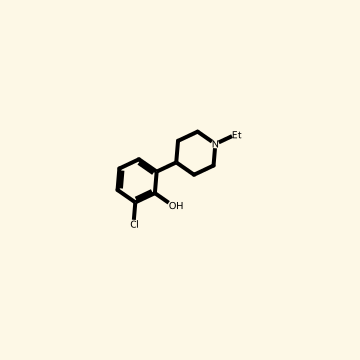 CCN1CCC(c2cccc(Cl)c2O)CC1